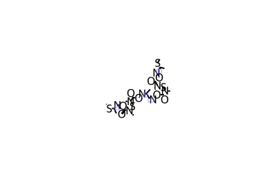 CS/C(C)=N/OC(=O)N(C)SN(C)C(=O)O/N=C\C(C)=N/OC(=O)N(C)SN(C)C(=O)O/N=C(\C)SC